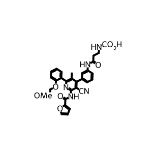 COCOc1ccccc1-c1nc(NC(=O)c2ccco2)c(C#N)c(-c2cccc(NC(=O)CCNC(=O)O)c2)c1C